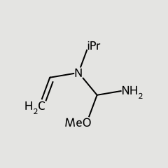 C=CN(C(C)C)C(N)OC